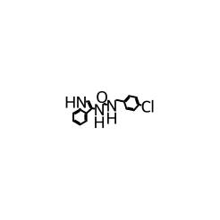 O=C(NCc1ccc(Cl)cc1)Nc1c[nH]c2ccccc12